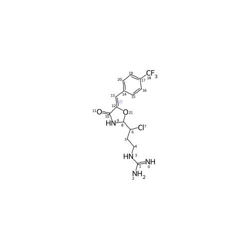 N=C(N)NCCC(Cl)C1NC(=O)/C(=C/c2ccc(C(F)(F)F)cc2)O1